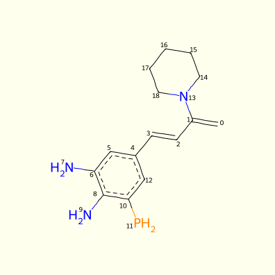 C=C(/C=C/c1cc(N)c(N)c(P)c1)N1CCCCC1